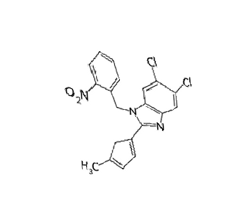 CC1=CC=C(c2nc3cc(Cl)c(Cl)cc3n2Cc2ccccc2[N+](=O)[O-])C1